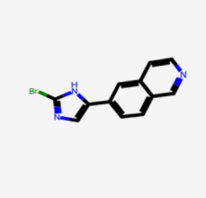 Brc1ncc(-c2ccc3cnccc3c2)[nH]1